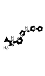 Cc1nc(-c2cccc(N3CC[C@@H](NC[C@H]4CCN(C5CCCC5)C4)C3)n2)[nH]c1C1CC1